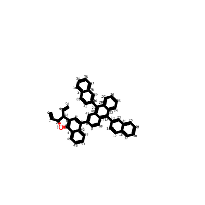 C=CC1Oc2c(cc(-c3ccc4c(-c5ccc6ccccc6c5)c5ccccc5c(-c5ccc6ccccc6c5)c4c3)c3ccccc23)C1C=C